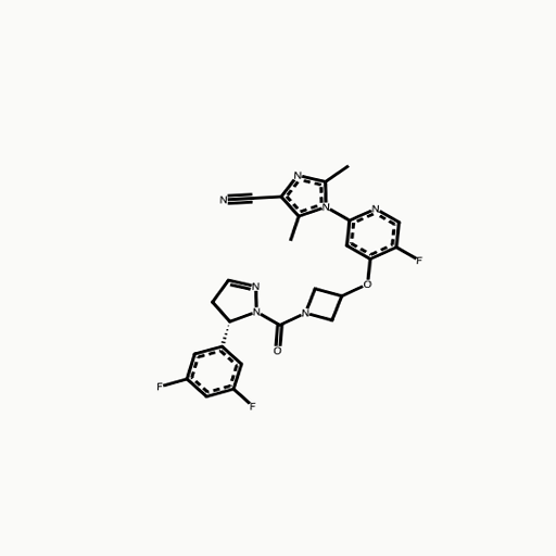 Cc1nc(C#N)c(C)n1-c1cc(OC2CN(C(=O)N3N=CC[C@H]3c3cc(F)cc(F)c3)C2)c(F)cn1